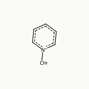 [CH][n+]1ccccc1